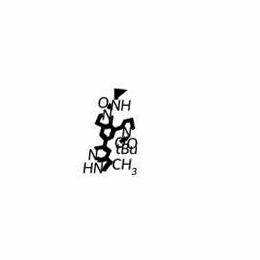 Cc1c[nH]c2ncc(-c3cc4c(c(C5CCCN5C(=O)OC(C)(C)C)c3)CN(C(=O)NC3CC3)CC4)cc12